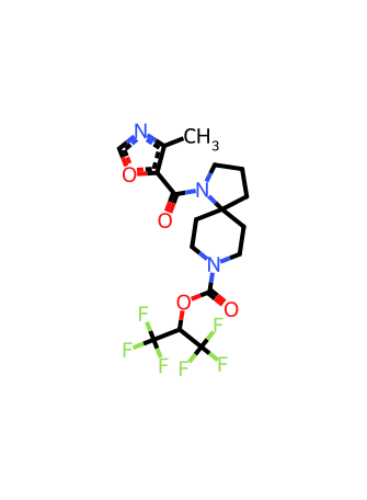 Cc1ncoc1C(=O)N1CCCC12CCN(C(=O)OC(C(F)(F)F)C(F)(F)F)CC2